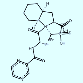 CCCC([N@@+]1(C(=O)[C@@H](NC(=O)c2cnccn2)C(C)C)[C@H](C(N)=O)C[C@@H]2CCCC[C@@H]21)P(=O)(O)O